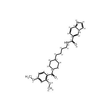 COc1ccc(C(=O)N2CCC(CCCCNC(=O)c3ccc4nccn4c3)CC2)c(OC)c1